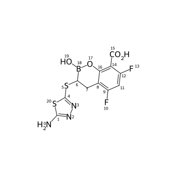 Nc1nnc(SC2Cc3c(F)cc(F)c(C(=O)O)c3OB2O)s1